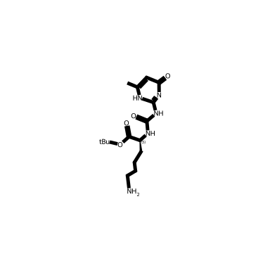 Cc1cc(=O)nc(NC(=O)N[C@@H](CCCCN)C(=O)OC(C)(C)C)[nH]1